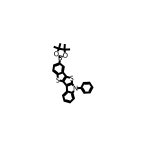 CC1(C)OB(c2ccc3sc4c(sc5c4c4ccccc4n5-c4ccccc4)c3c2)OC1(C)C